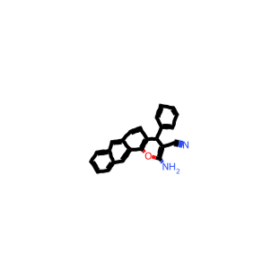 N#CC1=C(N)Oc2c(ccc3cc4ccccc4cc23)C1c1ccccc1